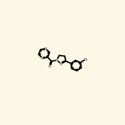 CCc1cccc(C2=NN(C(=O)c3cnccn3)CC2)c1